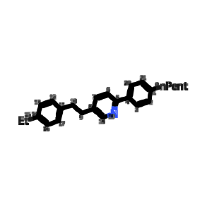 CCCCCc1ccc(-c2ccc(CCc3ccc(CC)cc3)cn2)cc1